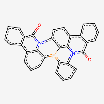 O=c1c2ccccc2c2ccc3c4c2n1c1ccccc1p-4c1cccc2c4ccccc4c(=O)n3c21